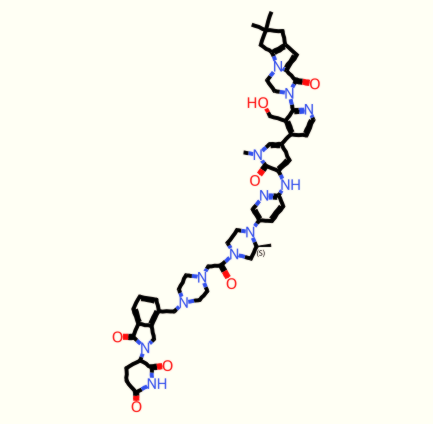 C[C@H]1CN(C(=O)CN2CCN(Cc3cccc4c3CN(C3CCC(=O)NC3=O)C4=O)CC2)CCN1c1ccc(Nc2cc(-c3ccnc(N4CCn5c(cc6c5CC(C)(C)C6)C4=O)c3CO)cn(C)c2=O)nc1